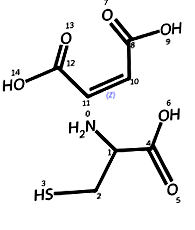 NC(CS)C(=O)O.O=C(O)/C=C\C(=O)O